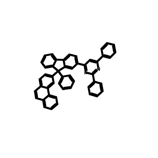 c1ccc(-c2cc(-c3ccc4c(c3)C(c3ccccc3)(c3ccc5ccc6ccccc6c5c3)c3ccccc3-4)nc(-c3ccccc3)n2)cc1